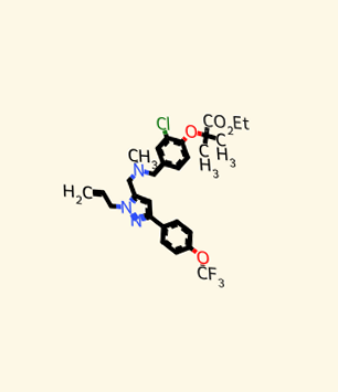 C=CCn1nc(-c2ccc(OC(F)(F)F)cc2)cc1CN(C)Cc1ccc(OC(C)(C)C(=O)OCC)c(Cl)c1